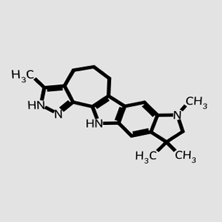 Cc1[nH]nc2c1CCCc1c-2[nH]c2cc3c(cc12)N(C)CC3(C)C